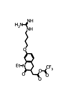 CCN1C(=O)C(CC(=O)OC(=O)C(F)(F)F)Cc2ccc(OCCCCNC(=N)N)cc21